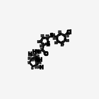 O=C(N[C@@H]1C[C@H]2CC[C@@H]1N2)c1ccc(Sc2cccc(Cl)c2)s1